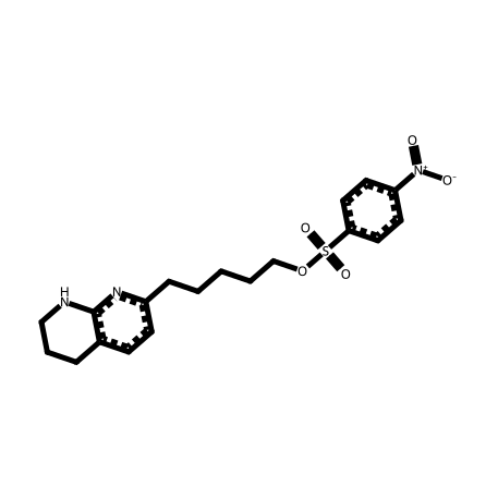 O=[N+]([O-])c1ccc(S(=O)(=O)OCCCCCc2ccc3c(n2)NCCC3)cc1